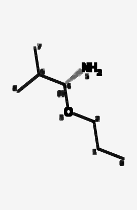 CCCO[C@@H](N)C(C)C